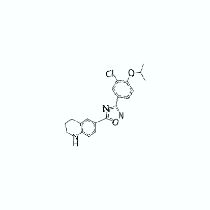 CC(C)Oc1ccc(-c2noc(-c3ccc4c(c3)CCCN4)n2)cc1Cl